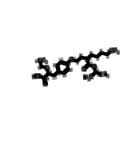 CCCCCN(CCOc1ccc(CC(OCC)C(=O)O)cc1)C(=O)OC(C)C